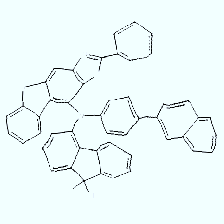 CC1(C)c2ccccc2-c2c(N(c3ccc(-c4ccc5ccccc5c4)cc3)c3c4oc(-c5ccccc5)nc4cc4oc5ccccc5c34)cccc21